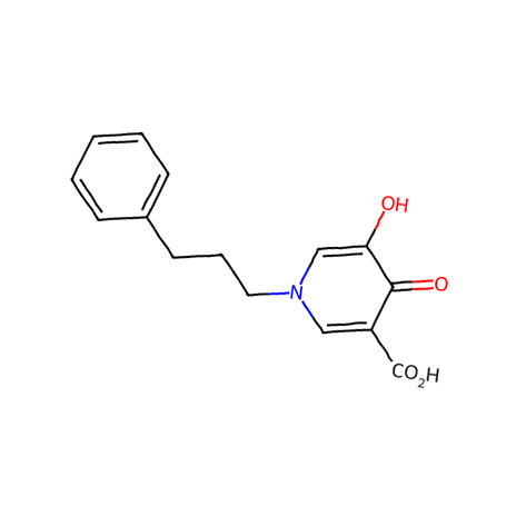 O=C(O)c1cn(CCCc2ccccc2)cc(O)c1=O